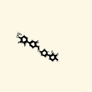 CCCOc1ccc(-c2ccc(COC3CC=C(c4ccc(C)c(F)c4F)CC3)c(F)c2)c(F)c1F